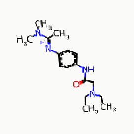 CCN(CC)CC(=O)Nc1ccc(/N=C(\C)N(C)C)cc1